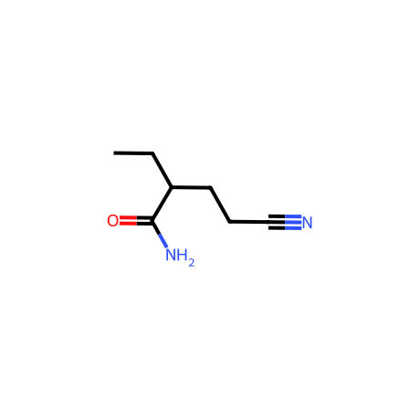 CCC(CCC#N)C(N)=O